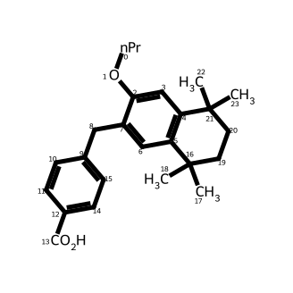 CCCOc1cc2c(cc1Cc1ccc(C(=O)O)cc1)C(C)(C)CCC2(C)C